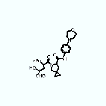 CCCCC(CN(O)C=O)C(=O)N1CC2(CC2)CC1C(=O)Nc1ccc(N2CCOCC2)cc1